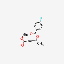 CC(C#CC(=O)OC(C)(C)C)OC(=O)c1ccc(F)cc1